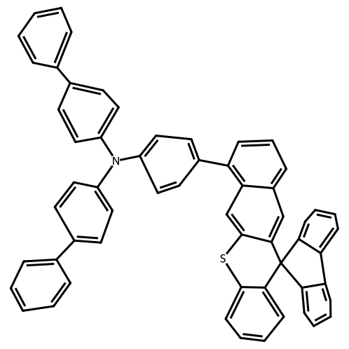 c1ccc(-c2ccc(N(c3ccc(-c4ccccc4)cc3)c3ccc(-c4cccc5cc6c(cc45)Sc4ccccc4C64c5ccccc5-c5ccccc54)cc3)cc2)cc1